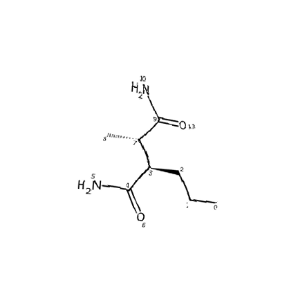 CCC[C@@H](C(N)=O)[C@H](C)C(N)=O